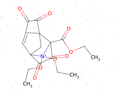 CCOC(=O)C12C(=O)C(=O)C3(C=C4C(=O)C(=O)C41C3)[N+]2(OCC)OCC